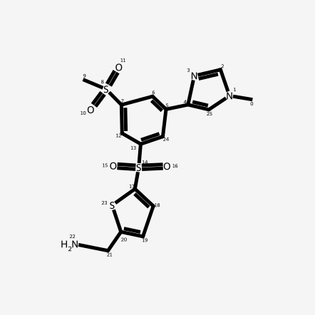 Cn1cnc(-c2cc(S(C)(=O)=O)cc(S(=O)(=O)c3ccc(CN)s3)c2)c1